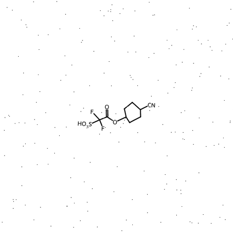 N#CC1CCC(OC(=O)C(F)(F)S(=O)(=O)O)CC1